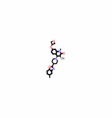 Cc1ccc2oc(C3CCN(c4c(C#N)c(=O)n(C)c5cc(OC6COC6)ccc45)CC3)nc2c1